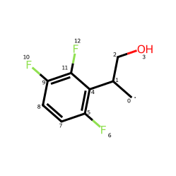 [CH2]C(CO)c1c(F)ccc(F)c1F